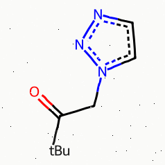 CC(C)(C)C(=O)Cn1ccnn1